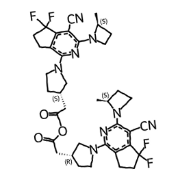 C[C@H]1CCN1c1nc(N2CC[C@H](CC(=O)OC(=O)C[C@@H]3CCN(c4nc(N5CC[C@@H]5C)c(C#N)c5c4CCC5(F)F)C3)C2)c2c(c1C#N)C(F)(F)CC2